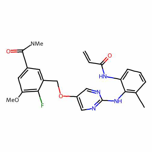 C=CC(=O)Nc1cccc(C)c1Nc1ncc(OCc2cc(C(=O)NC)cc(OC)c2F)cn1